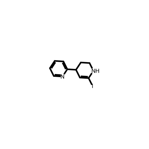 IC1=CC(c2ccccn2)CCN1